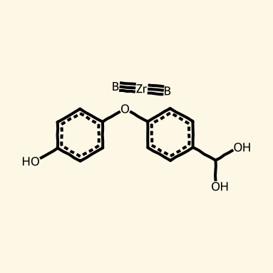 Oc1ccc(Oc2ccc(C(O)O)cc2)cc1.[B]#[Zr]#[B]